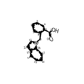 O=C(O)c1ccccc1Cn1ccc2ccccc21